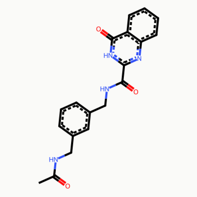 CC(=O)NCc1cccc(CNC(=O)c2nc3ccccc3c(=O)[nH]2)c1